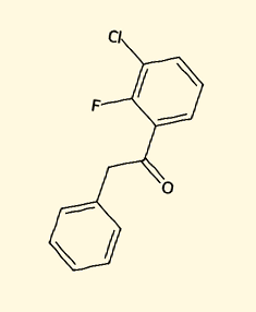 O=C(Cc1ccccc1)c1cccc(Cl)c1F